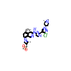 CC(C)c1ccc(N2C[C@H](CS(C)(=O)=O)[C@H]2C)c2cnc(Nc3ccnc(-c4cn([C@H]5CCN(C)[C@@H](C)C5)nc4Cl)n3)cc12